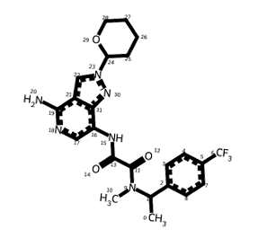 CC(c1ccc(C(F)(F)F)cc1)N(C)C(=O)C(=O)Nc1cnc(N)c2cn(C3CCCCO3)nc12